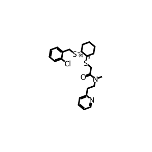 CN(CCc1ccccn1)C(=O)CS[C@@H]1CCCC[C@H]1SCc1ccccc1Cl